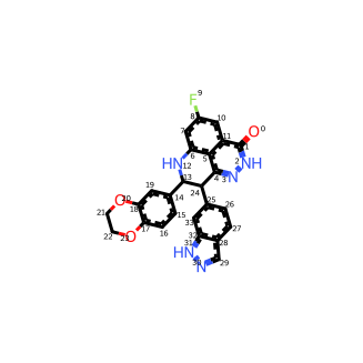 O=c1[nH]nc2c3c(cc(F)cc13)NC(c1ccc3c(c1)OCCO3)C2c1ccc2cn[nH]c2c1